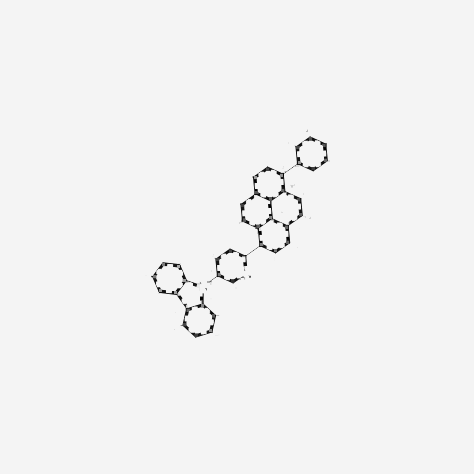 c1ccc(-c2ccc3ccc4c(-c5ccc(-n6c7ccccc7c7ccccc76)cn5)ccc5ccc2c3c54)cc1